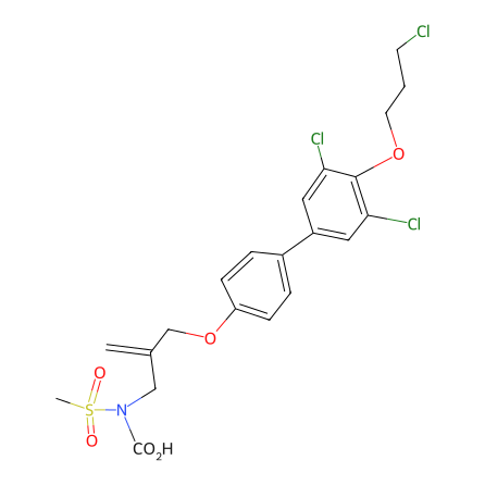 C=C(COc1ccc(-c2cc(Cl)c(OCCCCl)c(Cl)c2)cc1)CN(C(=O)O)S(C)(=O)=O